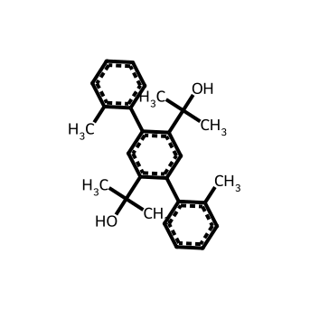 Cc1ccccc1-c1cc(C(C)(C)O)c(-c2ccccc2C)cc1C(C)(C)O